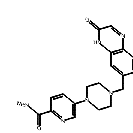 CNC(=O)c1ccc(N2CCN(Cc3ccc4ncc(=O)[nH]c4c3)CC2)cn1